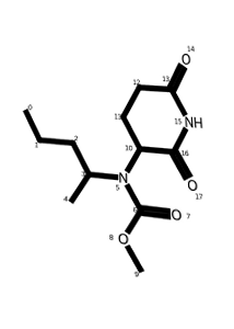 CCCC(C)N(C(=O)OC)C1CCC(=O)NC1=O